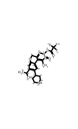 Cc1c2c(nn(OC(=O)C(F)(F)F)[n+]1=O)COc1cc(C(C)C)c(C3CCNCC3)cc1-2